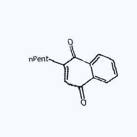 CCCCCC1=CC(=O)c2ccccc2C1=O